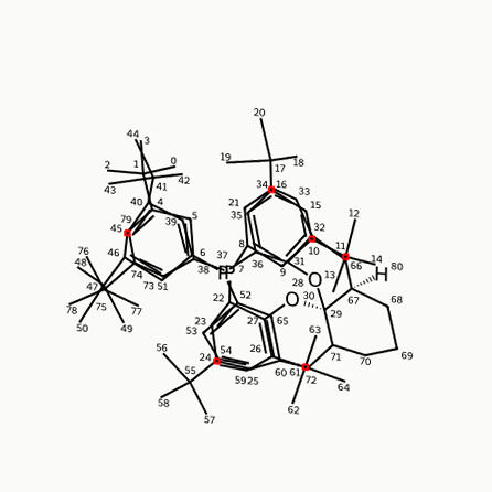 CC(C)(C)c1cc(P(c2cc(C(C)(C)C)cc(C(C)(C)C)c2)c2cccc3c2O[C@]24Oc5c(cccc5P(c5cc(C(C)(C)C)cc(C(C)(C)C)c5)c5cc(C(C)(C)C)cc(C(C)(C)C)c5)C[C@H]2CCCC4C3)cc(C(C)(C)C)c1